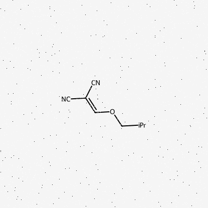 CC(C)COC=C(C#N)C#N